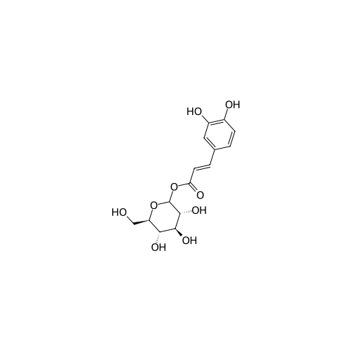 O=C(/C=C/c1ccc(O)c(O)c1)OC1O[C@H](CO)[C@@H](O)[C@H](O)[C@H]1O